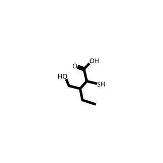 CCC(CO)C(S)C(=O)O